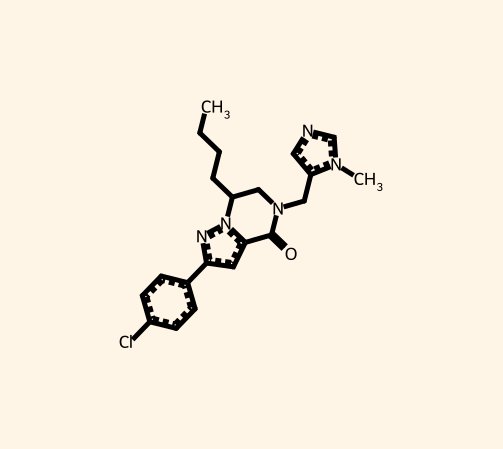 CCCCC1CN(Cc2cncn2C)C(=O)c2cc(-c3ccc(Cl)cc3)nn21